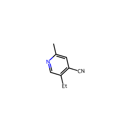 CCc1cnc(C)cc1C#N